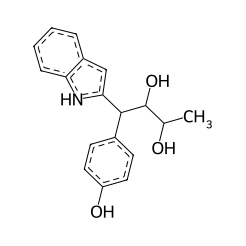 CC(O)C(O)C(c1ccc(O)cc1)c1cc2ccccc2[nH]1